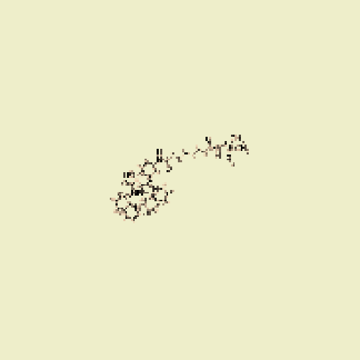 CC(C)(C)ONC(=O)CCCCCCC(=O)Nc1ccc(C(O)(C(=O)Nc2cccc3cccnc23)C(=O)Nc2cccc3cccnc23)cc1